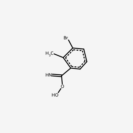 Cc1c(Br)cccc1C(=N)OO